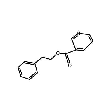 O=C(OCCc1ccccc1)c1cccnc1